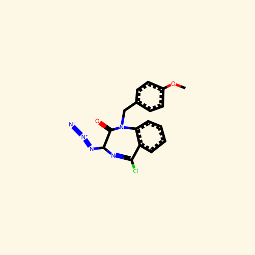 COc1ccc(CN2C(=O)C(N=[N+]=[N-])N=C(Cl)c3ccccc32)cc1